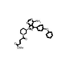 COC(=O)/C=C/C(=O)N1CCC[C@@H](n2nc(-c3ccc(Oc4ccccc4)cc3)c3c(N)ncnc32)C1